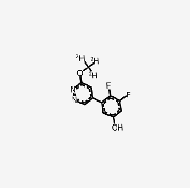 [2H]C([2H])([2H])Oc1cc(-c2cc(O)cc(F)c2F)cnn1